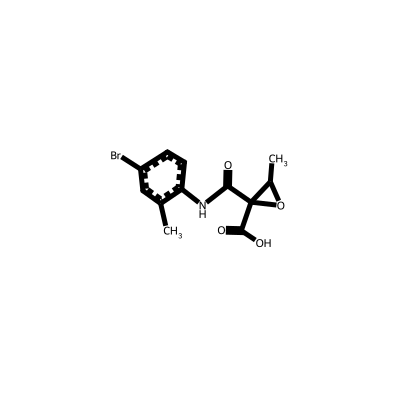 Cc1cc(Br)ccc1NC(=O)C1(C(=O)O)OC1C